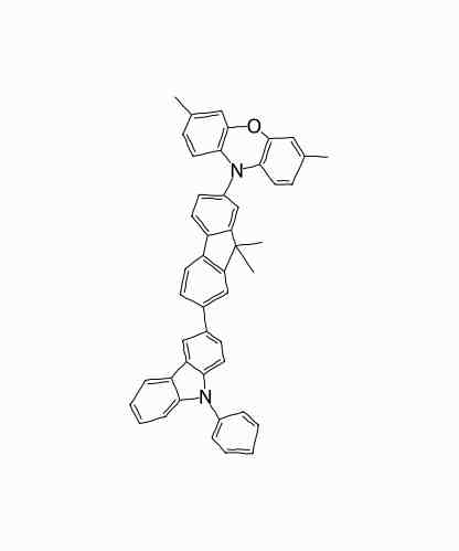 Cc1ccc2c(c1)Oc1cc(C)ccc1N2c1ccc2c(c1)C(C)(C)c1cc(-c3ccc4c(c3)c3ccccc3n4-c3ccccc3)ccc1-2